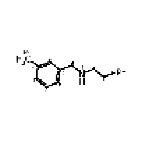 CC(C)CCNCc1cccc(C(F)(F)F)c1